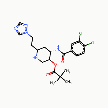 CC(C)(C)C(=O)O[C@H]1CNC(CCn2cncn2)C[C@@H]1NC(=O)c1ccc(Cl)c(Cl)c1